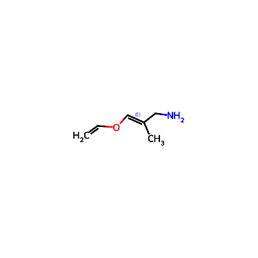 C=CO/C=C(\C)CN